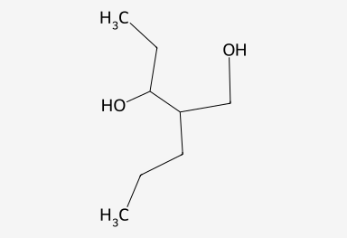 CCCC(CO)C(O)CC